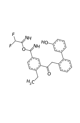 CCc1ccc(C(=N)OC(=N)C(F)F)cc1C(=O)Cc1ccccc1-c1cccc(O)c1